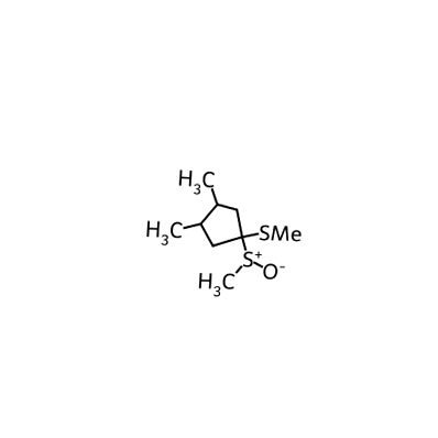 CSC1([S+](C)[O-])CC(C)C(C)C1